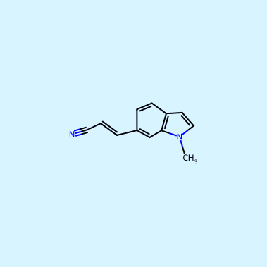 Cn1ccc2ccc(/C=C/C#N)cc21